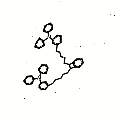 c1ccc(N(c2ccccc2)c2cccc(CCCCCC3c4ccccc4C3CCCCCc3cccc(N(c4ccccc4)c4ccccc4)c3)c2)cc1